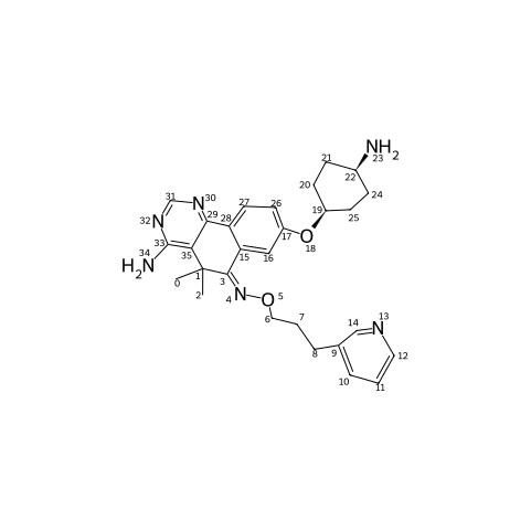 CC1(C)/C(=N/OCCCc2cccnc2)c2cc(O[C@H]3CC[C@@H](N)CC3)ccc2-c2ncnc(N)c21